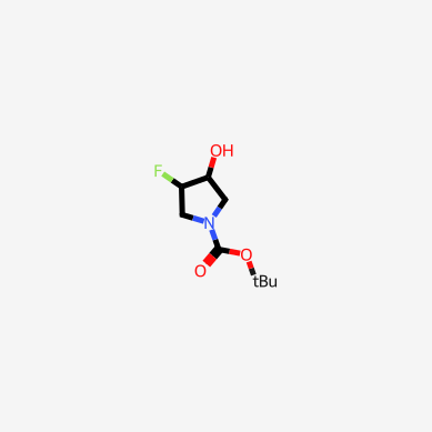 CC(C)(C)OC(=O)N1CC(O)C(F)C1